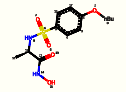 CCCCOc1ccc(S(=O)(=O)N[C@H](C)C(=O)NO)cc1